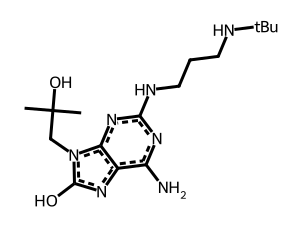 CC(C)(O)Cn1c(O)nc2c(N)nc(NCCCNC(C)(C)C)nc21